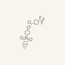 O=C(COc1ccc(N2C(=O)C3C4C=CC(C5CC45)C3C2=O)cc1)c1ccc(C(F)(F)F)cc1